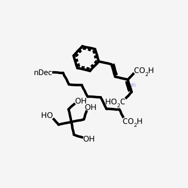 CCCCCCCCCCCCCCCCCC(=O)O.O=C(O)/C=C(\C=Cc1ccccc1)C(=O)O.OCC(CO)(CO)CO